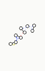 c1cc(-n2c3ccccc3c3ccccc32)cc(-n2c3ccccc3c3c(Oc4cccc5c4c4ccccc4n5-c4ccc5sc6ccccc6c5c4)cccc32)c1